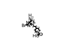 Nc1ncn(CCC2CCN(C(=O)O)CC2)c2nc(Br)nc1-2